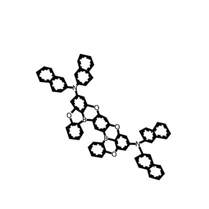 c1ccc2c(c1)Oc1cc(N(c3ccc4ccccc4c3)c3ccc4ccccc4c3)cc3c1B2c1cc2c(cc1O3)Oc1cc(N(c3ccc4ccccc4c3)c3ccc4ccccc4c3)cc3c1B2c1ccccc1O3